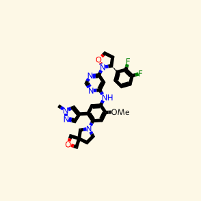 COc1cc(N2CCC3(COC3)C2)c(-c2cnn(C)c2)cc1Nc1cc(N2OCC[C@@H]2c2cccc(F)c2F)ncn1